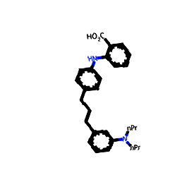 CCCN(CCC)c1cccc(CCCc2ccc(Nc3ccccc3C(=O)O)cc2)c1